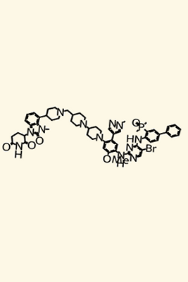 COc1cc(N2CCC(N3CCC(CN4CCC(c5cccc6c5n(C)c(=O)n6C5CCC(=O)NC5=O)CC4)CC3)CC2)c(-c2cnn(C)c2)cc1Nc1ncc(Br)c(Nc2ccc(-c3ccccc3)cc2P(C)(C)=O)n1